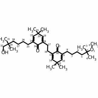 COC(C)(C)CCCCC1=CC(C)(C)C=C(CCC2=CC(C)(C)C=C(CCCCC(C)(C)CO)C2=O)C1=O